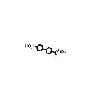 CC(C)(C)OC(=O)C1=CCC(c2ccc(C(=O)O)cc2)CC1